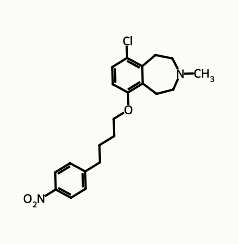 CN1CCc2c(Cl)ccc(OCCCCc3ccc([N+](=O)[O-])cc3)c2CC1